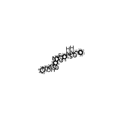 COc1cc2c(Oc3ccc(NC(=S)NC(=O)Cc4ccccc4)cc3F)ccnc2cc1OCC(O)CN1CCCCC1